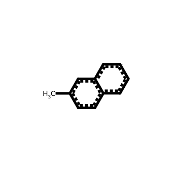 Cc1ccc2cc[c]cc2c1